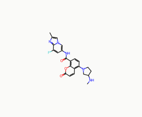 CNC1CCN(c2ccc(C(=O)Nc3cc(F)c4nc(C)cn4c3)c3oc(=O)ccc23)C1